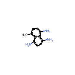 Cc1ccc(N)c2c(N)ccc(N)c12